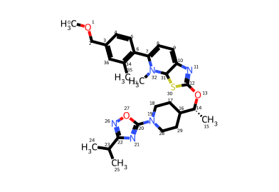 COCc1ccc(C2=CC=C3N=C(O[C@H](C)C4CCN(c5nc(C(C)C)no5)CC4)SC3N2C)c(C)c1